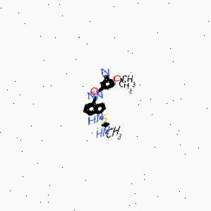 CNCCSNC1CCc2c(-c3noc(-c4ccc(OC(C)C)c(C#N)c4)n3)cccc21